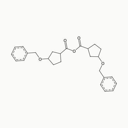 O=C(OC(=O)C1CCC(OCc2ccccc2)C1)C1CCC(OCc2ccccc2)C1